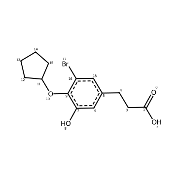 O=C(O)CCc1cc(O)c(OC2CCCC2)c(Br)c1